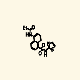 CCC(=O)Nc1cccc2c(S(=O)(=O)Nc3nccs3)cccc12